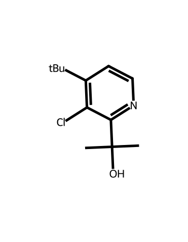 CC(C)(C)c1ccnc(C(C)(C)O)c1Cl